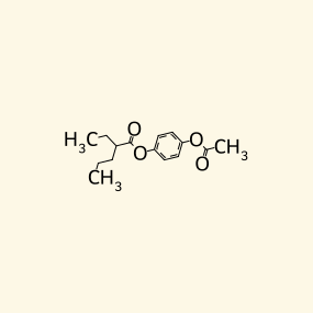 CCCC(CC)C(=O)Oc1ccc(OC(C)=O)cc1